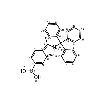 Cc1c2ccc(B(O)O)cc2cn1C(c1ccccc1)(c1ccccc1)c1ccccc1